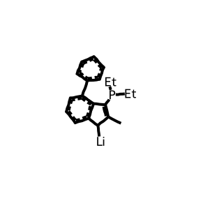 [Li][CH]1C(C)=C(P(CC)CC)c2c(-c3ccccc3)cccc21